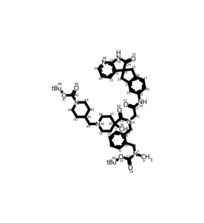 CN(Cc1ccccc1CN(CC(=O)Nc1ccc2c(c1)CC1(C2)C(=O)Nc2ncccc21)C(=O)C1(C)CCN(CC2CCN(C(=O)OC(C)(C)C)CC2)CC1)C(=O)OC(C)(C)C